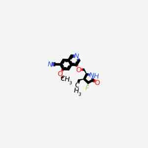 CC[C@@H]1[C@H](F)C(=O)N[C@@H]1COc1cncc2cc(C#N)c(OC)cc12